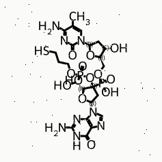 Cc1cn([C@H]2C[C@H](O)[C@@H](COP(=O)(O)[C@]3(OP(=O)(O)OCCCS)C[C@H](n4cnc5c(=O)[nH]c(N)nc54)O[C@@H]3CO)O2)c(=O)nc1N